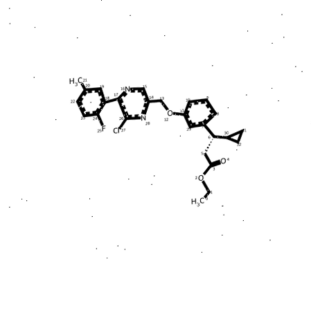 CCOC(=O)C[C@H](c1cccc(OCc2cnc(-c3cc(C)ccc3F)c(Cl)n2)c1)C1CC1